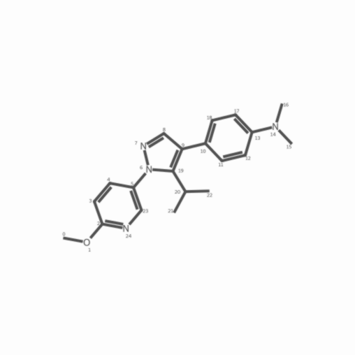 COc1ccc(-n2ncc(-c3ccc(N(C)C)cc3)c2C(C)C)cn1